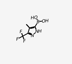 Cc1c(C(F)(F)F)n[nH]c1B(O)O